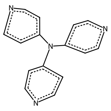 c1cc(N(c2ccncc2)c2ccncc2)ccn1